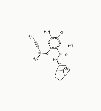 CC#C[C@H](C)Oc1cc(N)c(Cl)cc1C(=O)N[C@H]1CCC2CCC1N2C.Cl